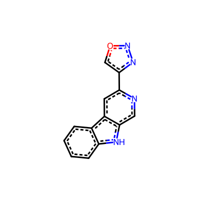 c1ccc2c(c1)[nH]c1cnc(-c3conn3)cc12